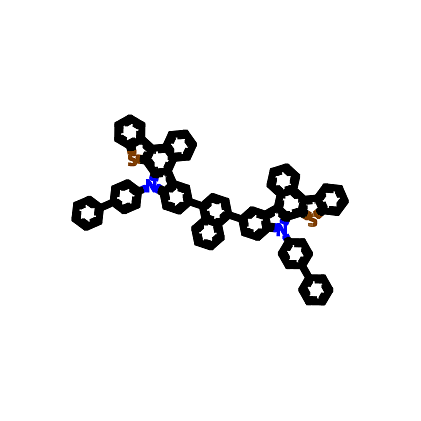 c1ccc(-c2ccc(-n3c4ccc(-c5ccc(-c6ccc7c(c6)c6c8ccccc8c8c9ccccc9sc8c6n7-c6ccc(-c7ccccc7)cc6)c6ccccc56)cc4c4c5ccccc5c5c6ccccc6sc5c43)cc2)cc1